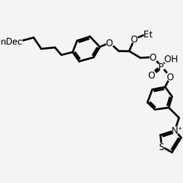 CCCCCCCCCCCCCCc1ccc(OCC(COP(=O)(O)Oc2cccc(C[n+]3ccsc3)c2)OCC)cc1